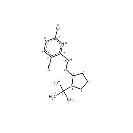 CC(C)(C)N1CCCC1CNc1nc(Cl)ncc1F